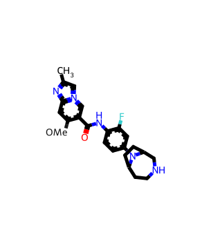 COc1cc2nc(C)cn2cc1C(=O)Nc1ccc(N2C3CCNCC2CC3)cc1F